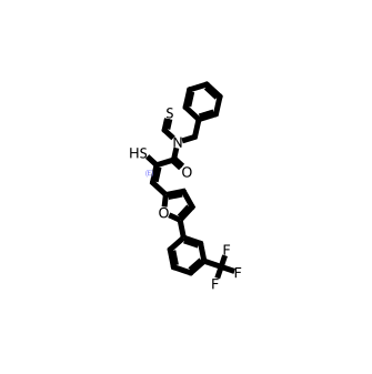 O=C(/C(S)=C\c1ccc(-c2cccc(C(F)(F)F)c2)o1)N(C=S)Cc1ccccc1